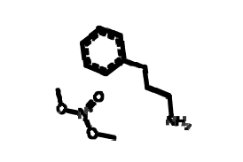 CO[N+](=O)OC.NCCCc1ccccc1